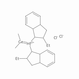 CCC1CC2C=CC=CC2[CH]1[Hf+2]([CH]1C(CC)CC2C=CC=CC21)=[Ge]([CH3])[CH3].[Cl-].[Cl-]